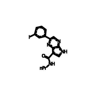 CCCNC(=O)c1c[nH]c2ncc(-c3cccc(I)c3)nc12